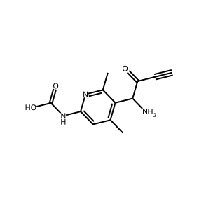 C#CC(=O)C(N)c1c(C)cc(NC(=O)O)nc1C